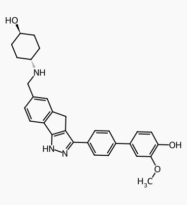 COc1cc(-c2ccc(-c3n[nH]c4c3Cc3cc(CN[C@H]5CC[C@H](O)CC5)ccc3-4)cc2)ccc1O